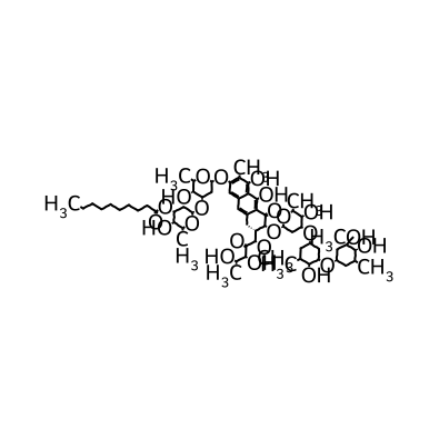 CCCCCCCCCC(=O)O[C@@H]1C[C@H](O[C@@H]2C[C@H](Oc3cc4cc5c(c(O)c4c(O)c3C)C(=O)[C@@H](O[C@H]3C[C@@H](O[C@@H]4CC(C)[C@H](O)[C@H](O[C@@H]6CC(C)[C@@H](O)[C@@](C)(O)C6)C4)[C@H](O)C(C)O3)[C@H]([C@H](OC)C(=O)[C@@H](O)[C@@H](C)O)C5)OC(C)[C@H]2O)OC(C)[C@H]1O